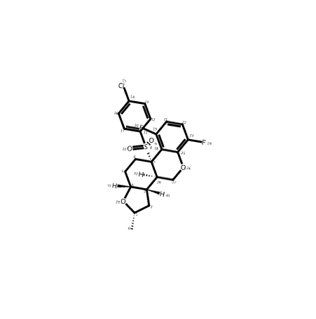 C[C@H]1C[C@@H]2[C@@H](CC[C@@]3(S(=O)(=O)c4ccc(Cl)cc4)c4c(F)ccc(F)c4OC[C@@H]23)O1